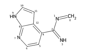 C=NC(=N)c1ccnc2[nH]ccc12